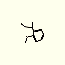 CCC(C)c1ccccc1SC